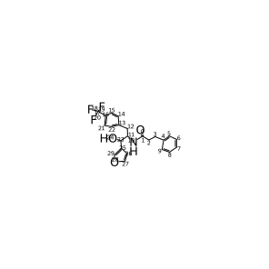 O=C(CCc1ccccc1)NC(Cc1ccc(C(F)(F)F)cc1)C(O)c1ccoc1